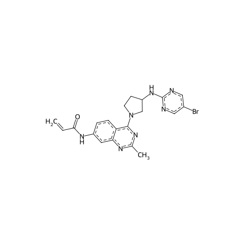 C=CC(=O)Nc1ccc2c(N3CCC(Nc4ncc(Br)cn4)C3)nc(C)nc2c1